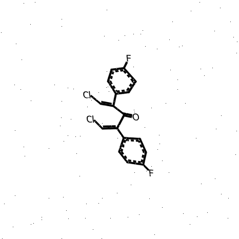 O=C(C(=CCl)c1ccc(F)cc1)C(=CCl)c1ccc(F)cc1